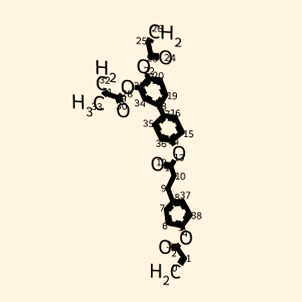 C=CC(=O)Oc1ccc(CCC(=O)Oc2ccc(-c3ccc(OC(=O)C=C)c(OC(=O)C(=C)C)c3)cc2)cc1